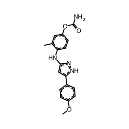 COc1ccc(-c2cc(Nc3ccc(OC(N)=O)cc3C)n[nH]2)cc1